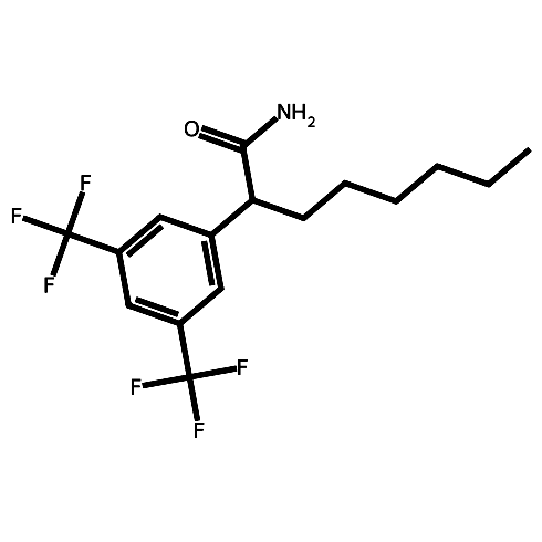 CCCCCCC(C(N)=O)c1cc(C(F)(F)F)cc(C(F)(F)F)c1